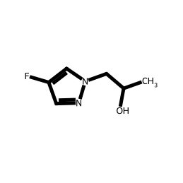 CC(O)Cn1cc(F)cn1